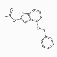 CC(=O)Oc1cc2c(OCc3ccccc3)cccc2[nH]1